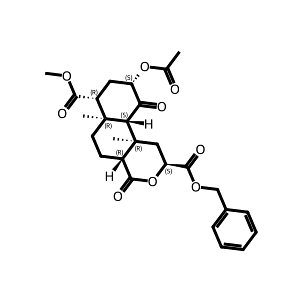 COC(=O)[C@@H]1C[C@H](OC(C)=O)C(=O)[C@H]2[C@@]1(C)CC[C@H]1C(=O)O[C@H](C(=O)OCc3ccccc3)C[C@]21C